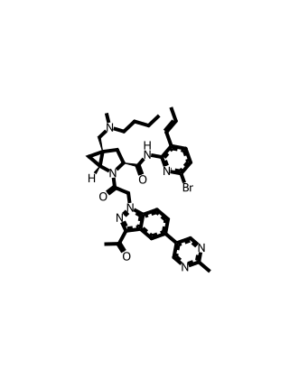 C/C=C/c1ccc(Br)nc1NC(=O)[C@@H]1C[C@@]2(CN(C)CCCC)C[C@H]2N1C(=O)Cn1nc(C(C)=O)c2cc(-c3cnc(C)nc3)ccc21